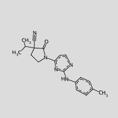 Cc1ccc(Nc2nccc(N3CCC(C#N)(C(C)C)C3=O)n2)cc1